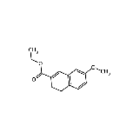 CCOC(=O)C1=Cc2cc(OC)ccc2CC1